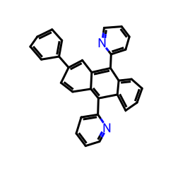 c1ccc(-c2ccc3c(-c4ccccn4)c4ccccc4c(-c4ccccn4)c3c2)cc1